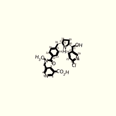 CN(Cc1cncc(C(=O)O)c1)C(=O)c1ccc(C[C@@H]2CC[C@H](C(O)c3ccc(Cl)nc3)N2)cc1